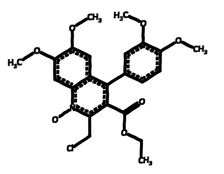 CCOC(=O)c1c(-c2ccc(OC)c(OC)c2)c2cc(OC)c(OC)cc2[n+]([O-])c1CCl